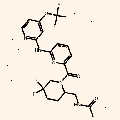 CC(=O)NCC1CCC(F)(F)CN1C(=O)c1cccc(Nc2cc(OC(F)(F)F)ccn2)n1